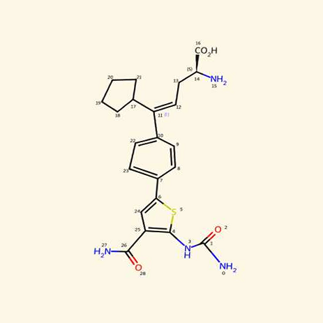 NC(=O)Nc1sc(-c2ccc(/C(=C/C[C@H](N)C(=O)O)C3CCCC3)cc2)cc1C(N)=O